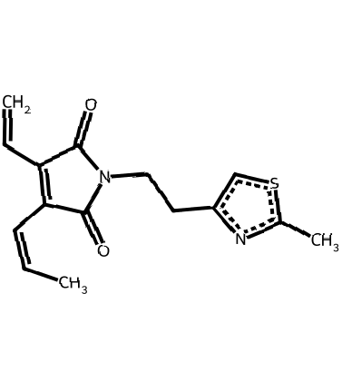 C=CC1=C(/C=C\C)C(=O)N(CCc2csc(C)n2)C1=O